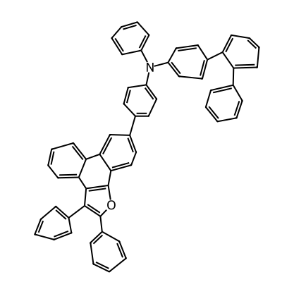 c1ccc(-c2ccccc2-c2ccc(N(c3ccccc3)c3ccc(-c4ccc5c(c4)c4ccccc4c4c(-c6ccccc6)c(-c6ccccc6)oc54)cc3)cc2)cc1